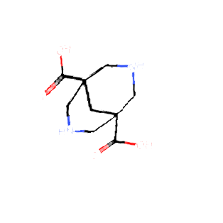 O=C(O)C12CNCC(C(=O)O)(CNC1)C2